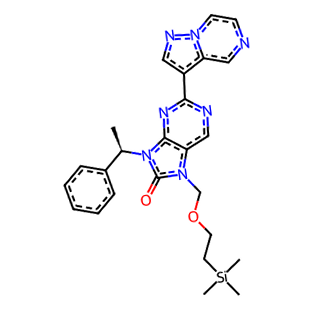 C[C@H](c1ccccc1)n1c(=O)n(COCC[Si](C)(C)C)c2cnc(-c3cnn4ccncc34)nc21